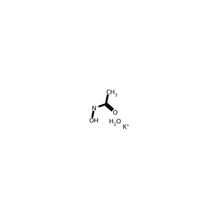 CC(=O)[N-]O.O.[K+]